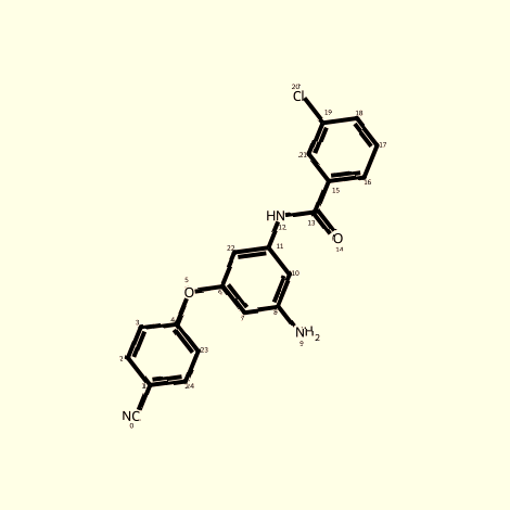 N#Cc1ccc(Oc2cc(N)cc(NC(=O)c3cccc(Cl)c3)c2)cc1